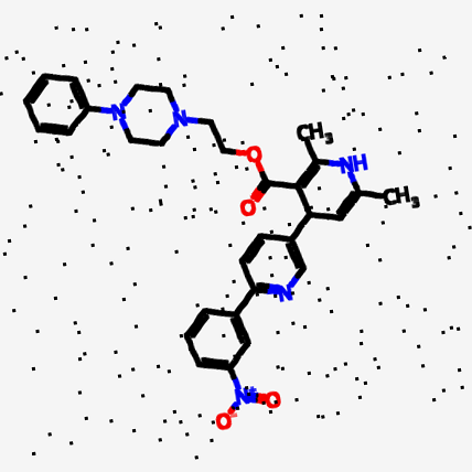 CC1=CC(c2ccc(-c3cccc([N+](=O)[O-])c3)nc2)C(C(=O)OCCN2CCN(c3ccccc3)CC2)=C(C)N1